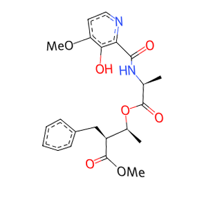 COC(=O)[C@@H](Cc1ccccc1)[C@H](C)OC(=O)[C@H](C)NC(=O)c1nccc(OC)c1O